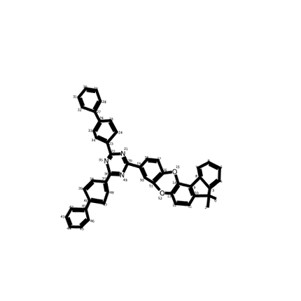 CC1(C)c2ccccc2-c2c1ccc1c2Oc2ccc(-c3nc(-c4ccc(-c5ccccc5)cc4)nc(-c4ccc(-c5ccccc5)cc4)n3)cc2O1